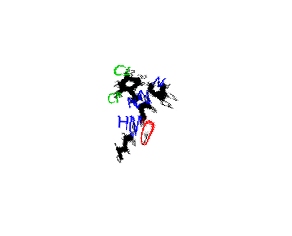 CCCCCNC(=O)c1cn(-c2cccnc2)c(-c2ccc(Cl)cc2Cl)n1